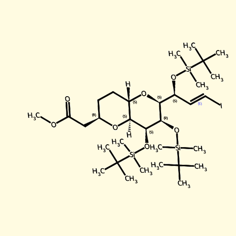 COC(=O)C[C@H]1CC[C@@H]2O[C@@H]([C@H](/C=C/I)O[Si](C)(C)C(C)(C)C)[C@@H](O[Si](C)(C)C(C)(C)C)[C@@H](O[Si](C)(C)C(C)(C)C)[C@H]2O1